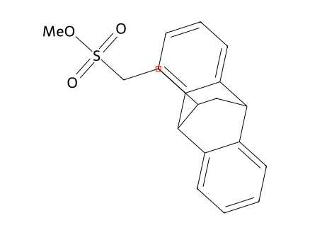 COS(=O)(=O)CCC1CC2c3ccccc3C1c1ccccc12